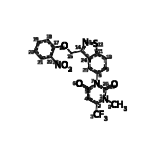 Cn1c(C(F)(F)F)cc(=O)n(-c2ccc3snc(COc4ccccc4[N+](=O)[O-])c3c2)c1=O